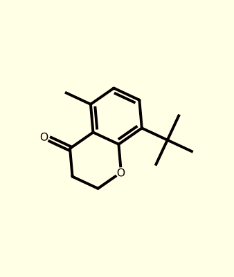 Cc1ccc(C(C)(C)C)c2c1C(=O)CCO2